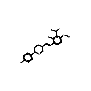 CCOc1ccc(/C=C/C2CCC(c3ccc(C)cc3)OC2)c(F)c1C(F)F